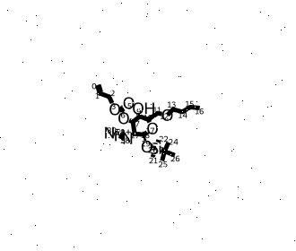 C=CCOC(=O)OC1[C@H](O)C(COCCCC)O[C@@H](O[Si](C)(C)C(C)(C)C)[C@H]1N=[N+]=[N-]